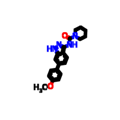 COc1ccc(-c2ccc3c(NC(=O)N4CCCCC4)n[nH]c3c2)cc1